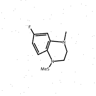 CSN1CCN(C)c2cc(F)ccc21